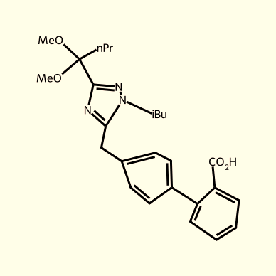 CCCC(OC)(OC)c1nc(Cc2ccc(-c3ccccc3C(=O)O)cc2)n(C(C)CC)n1